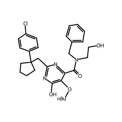 CCCCOc1c(O)nc(CC2(c3ccc(Cl)cc3)CCCC2)nc1C(=O)N(CCO)Cc1ccccc1